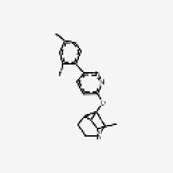 Cc1ccc(-c2ccc(OC3C4CCN(CC4)C3C)nn2)c(F)c1